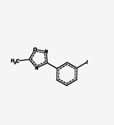 Cc1nc(-c2cccc(I)c2)no1